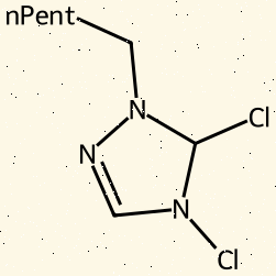 CCCCCCN1N=CN(Cl)C1Cl